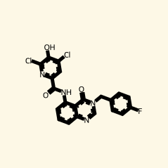 O=C(Nc1cccc2ncn(Cc3ccc(F)cc3)c(=O)c12)c1cc(Cl)c(O)c(Cl)n1